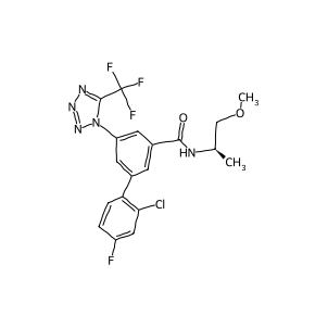 COC[C@@H](C)NC(=O)c1cc(-c2ccc(F)cc2Cl)cc(-n2nnnc2C(F)(F)F)c1